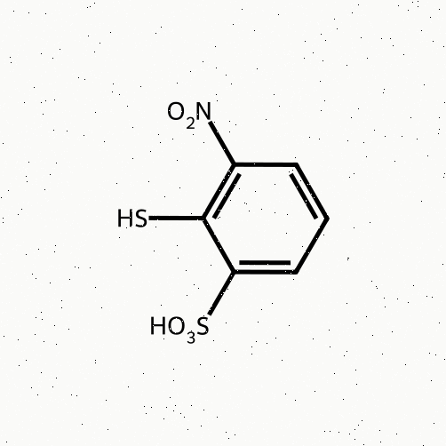 O=[N+]([O-])c1cccc(S(=O)(=O)O)c1S